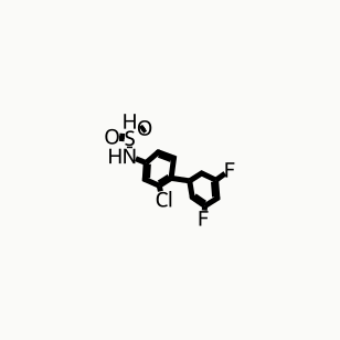 O=[SH](=O)Nc1ccc(C2C=C(F)C=C(F)C2)c(Cl)c1